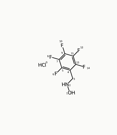 Cl.ONCc1c(F)c(F)c(F)c(F)c1F